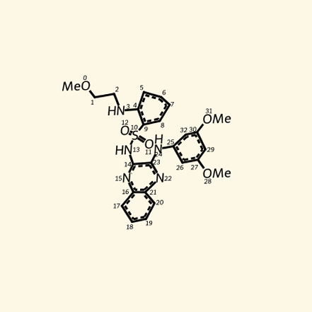 COCCNc1ccccc1S(=O)(=O)Nc1nc2ccccc2nc1Nc1cc(OC)cc(OC)c1